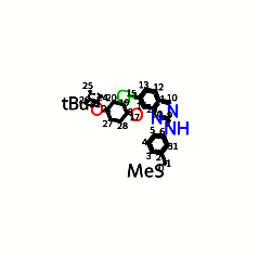 CSCc1cccc(Nc2ncc3ccc(Cl)c(O[C@H]4CC[C@@H](O[Si](C)(C)C(C)(C)C)CC4)c3n2)c1